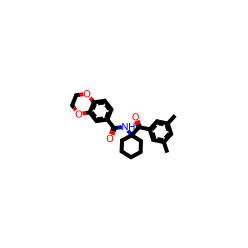 Cc1cc(C)cc(C(=O)C2(NC(=O)c3ccc4c(c3)OCCO4)CCCCC2)c1